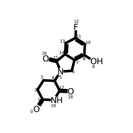 O=C1CCC(N2Cc3c(O)cc(F)cc3C2=O)C(=O)N1